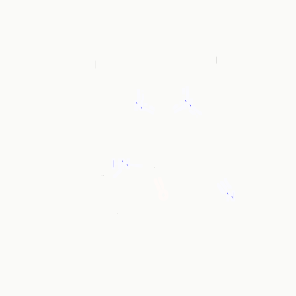 Cc1cc(C)n2cc(C#N)c(C(=O)N[C@@H](C)C3CC3)c2n1